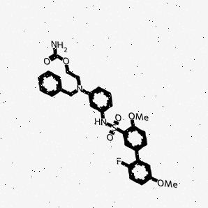 COc1ccc(F)c(-c2ccc(OC)c(S(=O)(=O)Nc3cccc(N(CCOC(N)=O)Cc4ccccc4)c3)c2)c1